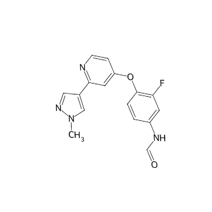 Cn1cc(-c2cc(Oc3ccc(NC=O)cc3F)ccn2)cn1